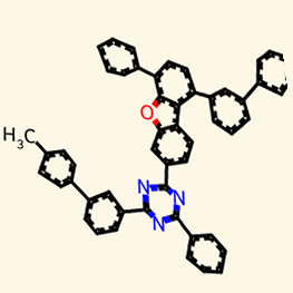 Cc1ccc(-c2cccc(-c3nc(-c4ccccc4)nc(-c4ccc5c(c4)oc4c(-c6ccccc6)ccc(-c6cccc(-c7ccccc7)c6)c45)n3)c2)cc1